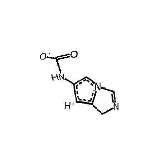 O=C([O-])Nc1cc2n(c1)C=NC2.[H+]